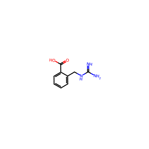 N=C(N)NCc1ccccc1C(=O)O